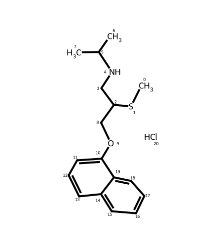 CSC(CNC(C)C)COc1cccc2ccccc12.Cl